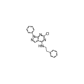 Clc1nc(NCCc2ccccc2)c2cnn(-c3ccccc3)c2n1